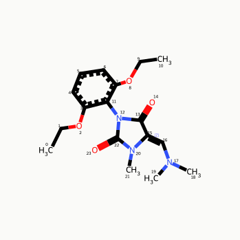 CCOc1cccc(OCC)c1N1C(=O)/C(=C/N(C)C)N(C)C1=O